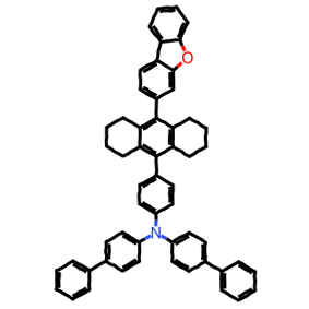 c1ccc(-c2ccc(N(c3ccc(-c4ccccc4)cc3)c3ccc(-c4c5c(c(-c6ccc7c(c6)oc6ccccc67)c6c4CCCC6)CCCC5)cc3)cc2)cc1